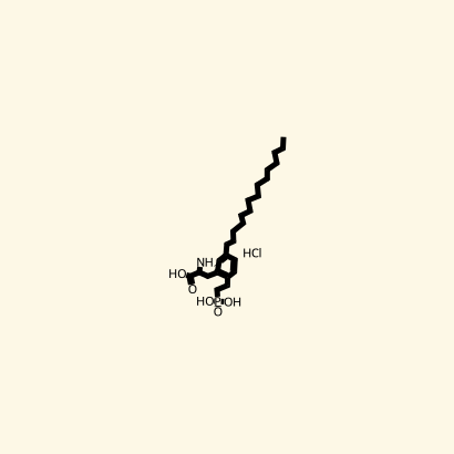 CCCCCCCCCCCCCCCc1ccc(CCP(=O)(O)O)c(CC(N)C(=O)O)c1.Cl